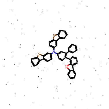 c1ccc(-c2cc(N(c3ccc4c(c3)sc3ccccc34)c3ccc4sc5ccccc5c4c3)ccc2-c2cccc3c2oc2ccccc23)cc1